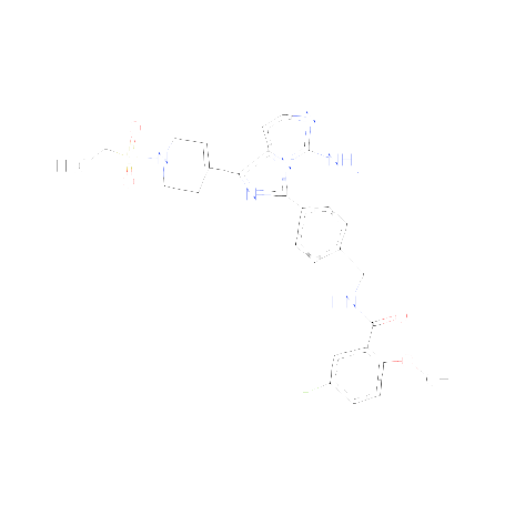 CCS(=O)(=O)N1CC=C(c2nc(-c3ccc(CNC(=O)c4cc(F)ccc4OC)cc3)n3c(N)nccc23)CC1